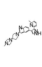 Cc1cccc(-c2n[nH]cc2-c2ccc3ncc(N4CCC(N5CCN(C)CC5)CC4)cc3c2)n1